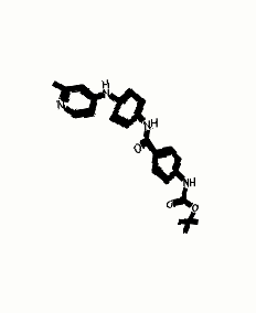 Cc1cc(Nc2ccc(NC(=O)c3ccc(NC(=O)OC(C)(C)C)cc3)cc2)ccn1